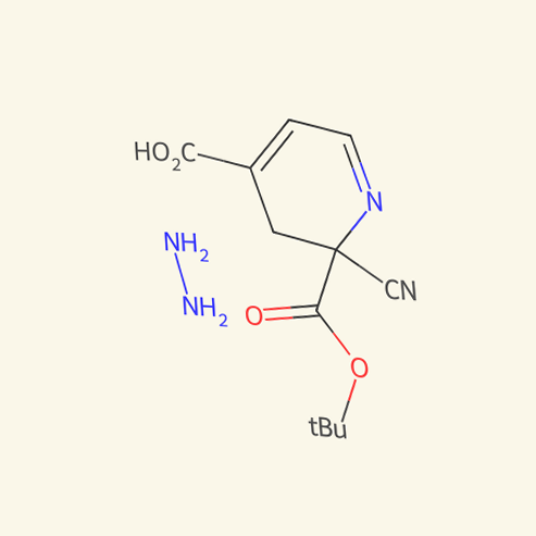 CC(C)(C)OC(=O)C1(C#N)CC(C(=O)O)=CC=N1.NN